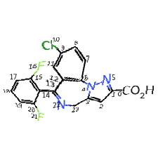 O=C(O)c1cc2n(n1)-c1ccc(Cl)cc1C(c1c(F)cccc1F)=NC2